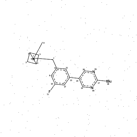 CN1C2CC(C2)C1Cc1cc(F)cc(-c2cnc(C(C)(C)C)nc2)c1